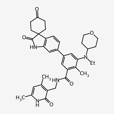 CCN(c1cc(-c2ccc3c(c2)NC(=O)C32CCC(=O)CC2)cc(C(=O)NCc2c(C)cc(C)[nH]c2=O)c1C)C1CCOCC1